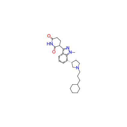 Cn1nc(C2CCC(=O)NC2=O)c2cccc([C@@H]3CCN(CCCC4CCCCC4)C3)c21